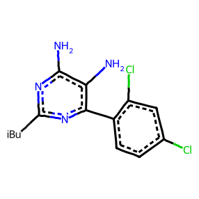 CCC(C)c1nc(N)c(N)c(-c2ccc(Cl)cc2Cl)n1